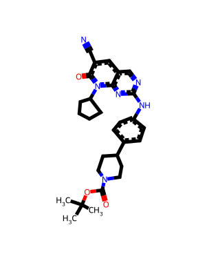 CC(C)(C)OC(=O)N1CCC(c2ccc(Nc3ncc4cc(C#N)c(=O)n(C5CCCC5)c4n3)cc2)CC1